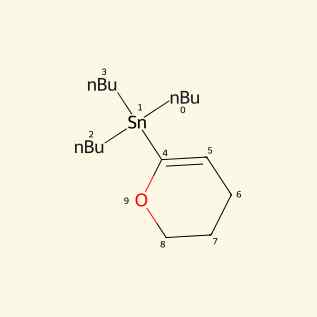 CCC[CH2][Sn]([CH2]CCC)([CH2]CCC)[C]1=CCCCO1